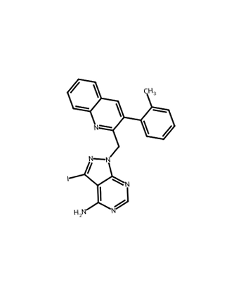 Cc1ccccc1-c1cc2ccccc2nc1Cn1nc(I)c2c(N)ncnc21